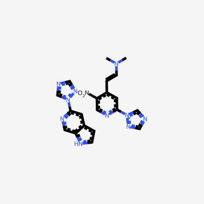 CN(C)C=Cc1cc(-n2cncn2)ncc1[N+](=O)[O-].c1ncn(-c2cc3cc[nH]c3cn2)n1